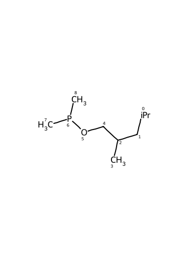 CC(C)CC(C)COP(C)C